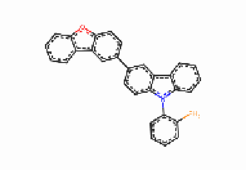 Pc1ccccc1-n1c2ccccc2c2cc(-c3ccc4oc5ccccc5c4c3)ccc21